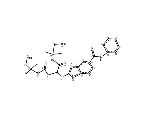 CC(C)(C)CC(C)(C)NC(=O)CC(Sc1nc2ccc(C(=O)Nc3ccccc3)cc2s1)C(=O)NC(C)(C)CC(C)(C)C